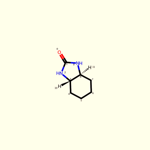 O=C1N[C@H]2CCCC[C@@H]2N1